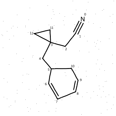 N#CCC1(CC2C=CC=CC2)CC1